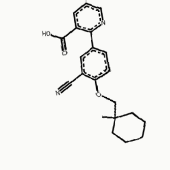 CC1(COc2ccc(-c3ncccc3C(=O)O)cc2C#N)CCCCC1